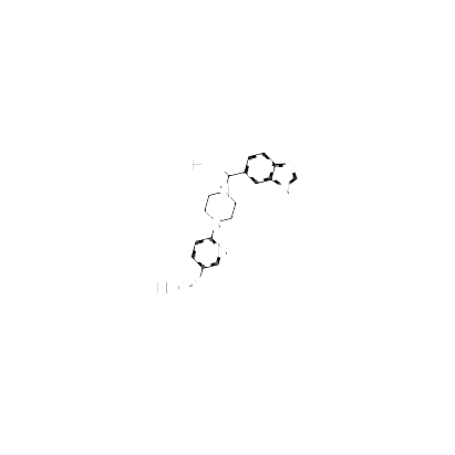 CSc1ccc(N2CCN(C(C)c3ccc4scnc4c3)CC2)nc1